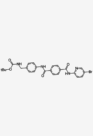 CC(C)(C)OC(=O)NCc1ccc(NC(=O)c2ccc(C(=O)Nc3ccc(Br)cn3)cc2)cc1